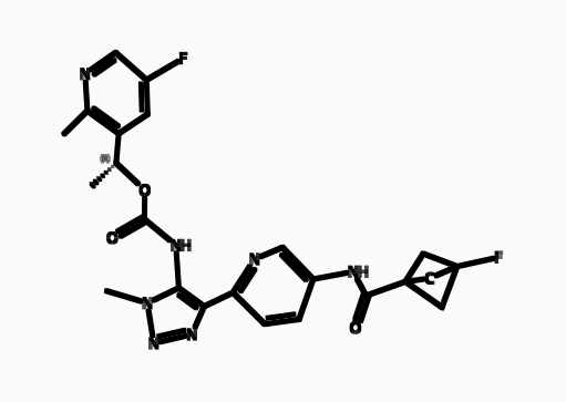 Cc1ncc(F)cc1[C@@H](C)OC(=O)Nc1c(-c2ccc(NC(=O)C34CC(F)(C3)C4)cn2)nnn1C